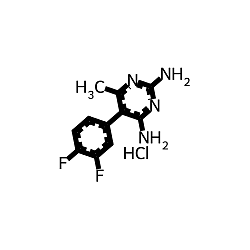 Cc1nc(N)nc(N)c1-c1ccc(F)c(F)c1.Cl